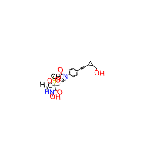 C[C@@](C[C@H]1CN(c2ccc(C#CC3CC3CO)cc2)C(=O)O1)(C(=O)NO)S(C)(=O)=O